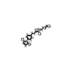 O=POCCNC(=O)CCCc1ccc(N2C(=O)C=CC2=O)cc1